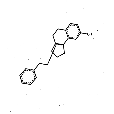 Oc1ccc2c(c1)C13CCCC1(CC2)CN(CCc1ccccc1)CC3